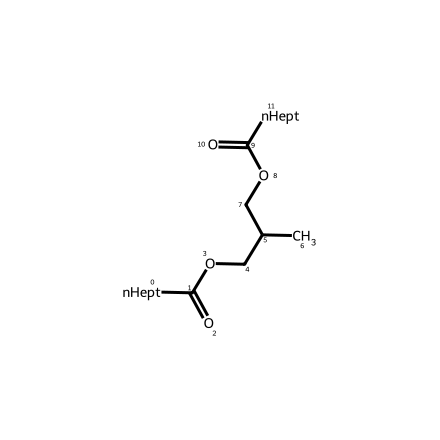 CCCCCCCC(=O)OCC(C)COC(=O)CCCCCCC